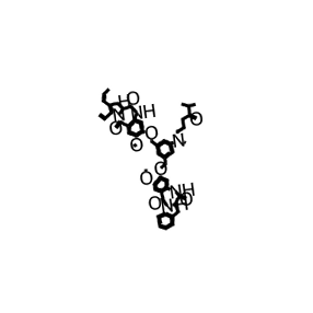 C=CC1=C(/C=C\C)C[C@H]2C(=O)Nc3cc(OCc4cc(COc5cc6c(cc5OC)C(=O)N5c7ccccc7C[C@H]5C(=O)N6)cc(N(C)CCCC(=O)C(C)C)c4)c(OC)cc3C(=O)N12